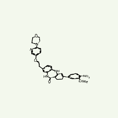 COc1cc(C2=CC3=C(CC2)C(=O)Nc2cc(CCOc4ccc(N5CCOCC5)nc4)ccc2N3)ccc1[N+](=O)[O-]